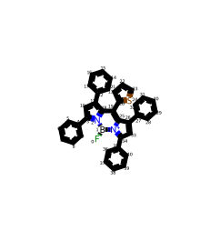 FB1n2c(-c3ccccc3)cc(-c3ccccc3)c2C(c2cccs2)=C2C(c3ccccc3)=CC(c3ccccc3)=[N+]12